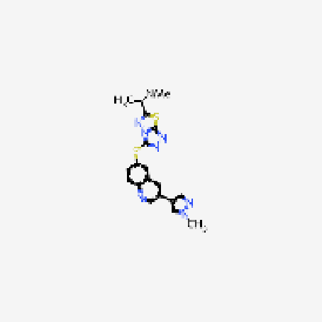 CN[C@@H](C)c1nn2c(Sc3ccc4ncc(-c5cnn(C)c5)cc4c3)nnc2s1